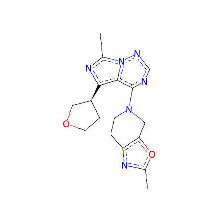 Cc1nc2c(o1)CN(c1ncnn3c(C)nc([C@H]4CCOC4)c13)CC2